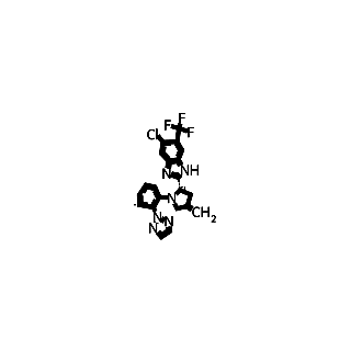 C=C1C[C@@H](c2nc3cc(Cl)c(C(F)(F)F)cc3[nH]2)N(c2ccc[c]c2-n2nccn2)C1